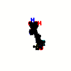 Cc1ccc(C(=O)N2CC(F)(F)OC3(CCN(Cc4cccc(CCNCC(O[Si](C)(C)C(C)(C)C)c5ccc(O)c6[nH]c(=O)ccc56)c4)CC3)C2)s1